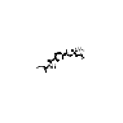 C=C(/C=C\C(C)=C(/C)CC(C)(P)CCC)C(=C)NC(C)CC